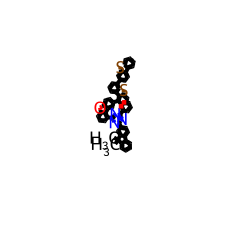 CC1(C)c2ccccc2-c2ccc(-c3nc(-c4ccccc4)nc(-c4cccc5oc6ccc(-c7cccc8sc9c(-c%10ccc%11c(c%10)sc%10ccccc%10%11)cccc9c78)cc6c45)n3)cc21